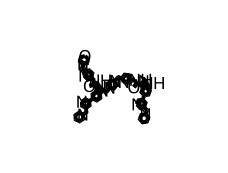 O=C(Nc1ccc(CN2CCN(Cn3nc(C(=O)Nc4ccc(CN5CCOCC5)nc4)c4cc(-c5cncc(CN6CCCCC6)c5)ccc43)CC2)nc1)c1n[nH]c2ccc(-c3cncc(CN4CCCCC4)c3)cc12